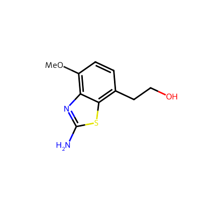 COc1ccc(CCO)c2sc(N)nc12